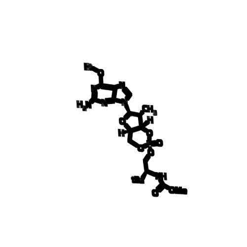 CCOc1nc(N)nc2c1ncn2[C@@H]1O[C@@H]2CO[P@](=O)(OC[C@@H](NC(=O)OC)C(C)(C)C)O[C@H]2[C@@H]1C